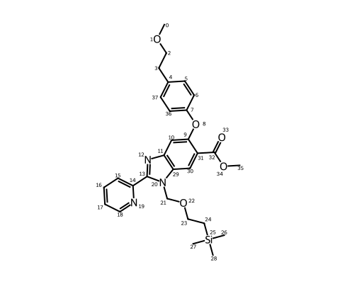 COCCc1ccc(Oc2cc3nc(-c4ccccn4)n(COCC[Si](C)(C)C)c3cc2C(=O)OC)cc1